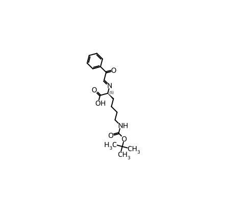 CC(C)(C)OC(=O)NCCCC[C@H](N=CC(=O)c1ccccc1)C(=O)O